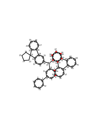 c1ccc(-c2cccc(N(c3ccc4c(c3)-c3ccccc3C43CCCC3)c3ccccc3-c3ccccc3-c3ccccc3-c3ccccc3)c2)cc1